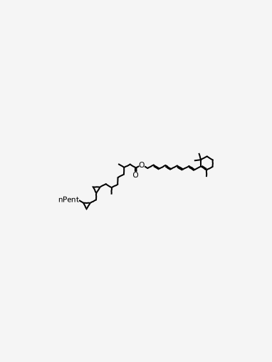 CCCCCC1CC1CC1CC1CC(C)CCCC(C)CC(=O)OCC=CC=CC=CC=CC1=C(C)CCCC1(C)C